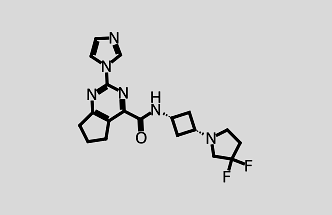 O=C(N[C@H]1C[C@@H](N2CCC(F)(F)C2)C1)c1nc(-n2ccnc2)nc2c1CCC2